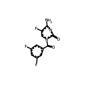 Nc1nc(=O)n(C(=O)c2cc(F)cc(F)c2)cc1F